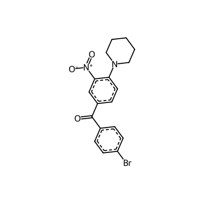 O=C(c1ccc(Br)cc1)c1ccc(N2CCCCC2)c([N+](=O)[O-])c1